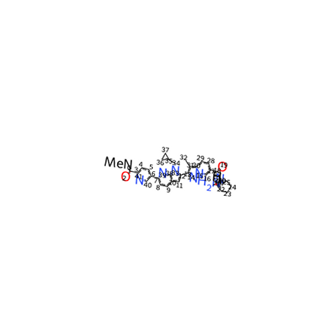 CNC(=O)c1ccc(-c2ccc3cc(-c4nn5cc(C(=O)N6CC7CCC6[C@@H]7N)ccc5c4C)n(CC4CC4)c3n2)cn1